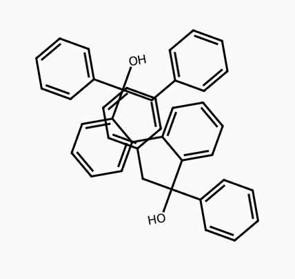 OC(Cc1ccccc1)(c1ccccc1)c1ccccc1-c1ccccc1C(O)(Cc1ccccc1)c1ccccc1